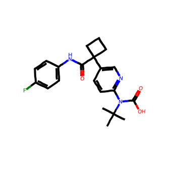 CC(C)(C)N(C(=O)O)c1ccc(C2(C(=O)Nc3ccc(F)cc3)CCC2)cn1